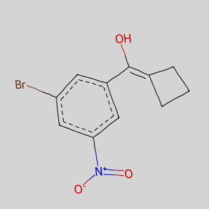 O=[N+]([O-])c1cc(Br)cc(C(O)=C2CCC2)c1